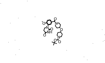 COc1ccc(C(=O)N2CCC(OC3CCN(C(=O)OC(C)(C)C)CC3)CC2)cc1N1CCC(=O)NC1=O